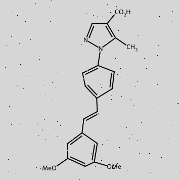 COc1cc(/C=C/c2ccc(-n3ncc(C(=O)O)c3C)cc2)cc(OC)c1